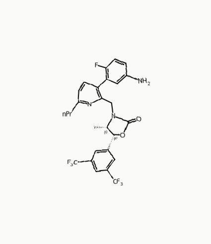 CCCc1ccc(-c2cc(N)ccc2F)c(CN2C(=O)O[C@H](c3cc(C(F)(F)F)cc(C(F)(F)F)c3)[C@@H]2C)n1